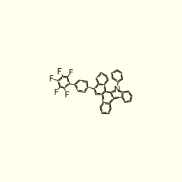 Fc1c(F)c(F)c(-c2ccc(-c3cc4c5ccccc5c5c6ccccc6n(-c6ccccc6)c5c4c4ccccc34)cc2)c(F)c1F